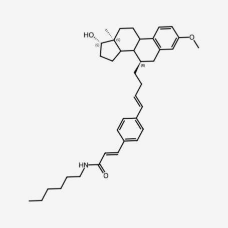 CCCCCCNC(=O)C=Cc1ccc(C=CCC[C@@H]2Cc3cc(OC)ccc3C3CC[C@@]4(C)C(CC[C@@H]4O)C32)cc1